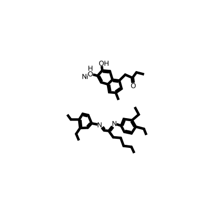 CCC(=O)Cc1cc(C)cc2cc(O)c(O)cc12.CCCCCC(C=Nc1ccc(CC)c(CC)c1)=Nc1ccc(CC)c(CC)c1.[Ni]